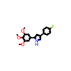 COc1cc(-c2cc(-c3ccc(F)cc3)c[nH]2)cc(OC)c1OC